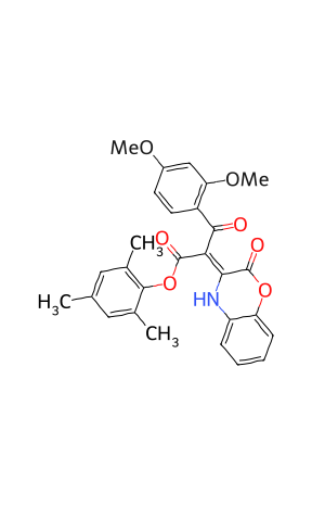 COc1ccc(C(=O)C(C(=O)Oc2c(C)cc(C)cc2C)=C2Nc3ccccc3OC2=O)c(OC)c1